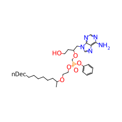 CCCCCCCCCCCCCCCCC(C)OCCOP(=O)(COC(CCO)Cn1cnc2c(N)ncnc21)Oc1ccccc1